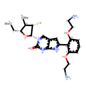 COC[C@H]1O[C@@H](n2cc3cc(-c4c(OCCN)cccc4OCCN)[nH]c3nc2=O)[C@@H](F)C1OC